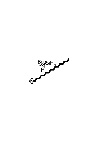 CCCCCCCCCCCCCCCC[N+](C)(C)C.C[SiH](C)O[SiH3].[Br-]